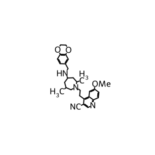 COc1ccc2ncc(C#N)c(CCN3CC(C)CC(NCc4ccc5c(c4)OCCO5)CC3C)c2c1